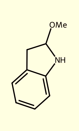 COC1Cc2ccccc2N1